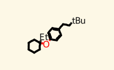 CCC1(Oc2ccc(CCC(C)(C)C)cc2)CCCCC1